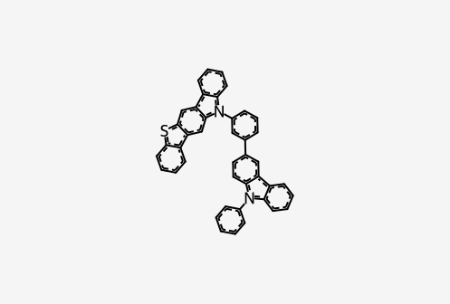 c1ccc(-n2c3ccccc3c3cc(-c4cccc(-n5c6ccccc6c6cc7sc8ccccc8c7cc65)c4)ccc32)cc1